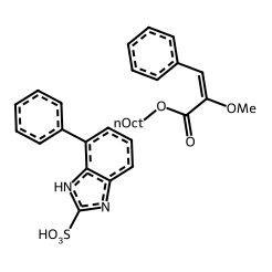 CCCCCCCCOC(=O)C(=Cc1ccccc1)OC.O=S(=O)(O)c1nc2cccc(-c3ccccc3)c2[nH]1